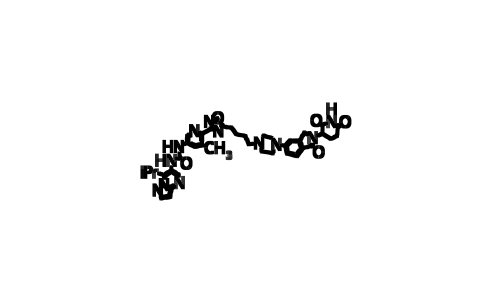 Cc1cc(NC(=O)Nc2cnc3ccnn3c2C(C)C)cnc1-c1noc(CCCCN2CCN(c3ccc4c(c3)CN(C3CCC(=O)NC3=O)C4=O)CC2)n1